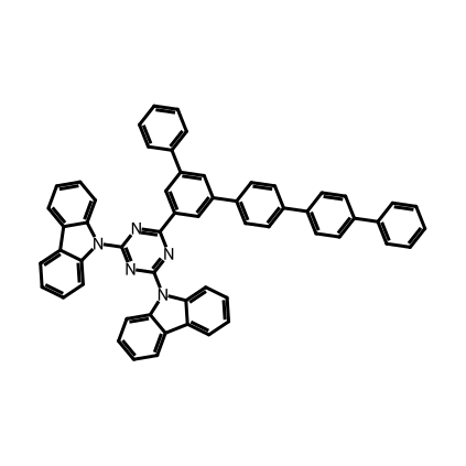 c1ccc(-c2ccc(-c3ccc(-c4cc(-c5ccccc5)cc(-c5nc(-n6c7ccccc7c7ccccc76)nc(-n6c7ccccc7c7ccccc76)n5)c4)cc3)cc2)cc1